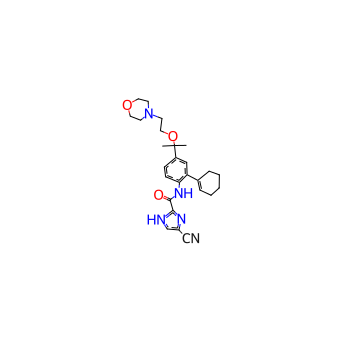 CC(C)(OCCN1CCOCC1)c1ccc(NC(=O)c2nc(C#N)c[nH]2)c(C2=CCCCC2)c1